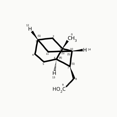 C[C@]12C[C@H]3CC[C@@H]1[C@H](CC(=O)O)[C@@H]2C3